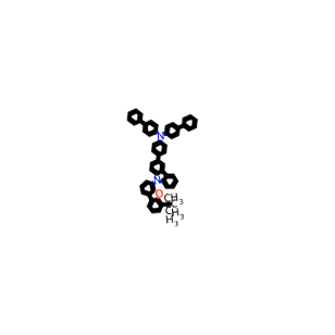 CC(C)(C)c1cccc2c1oc1c(-n3c4ccccc4c4cc(-c5ccc(N(c6ccc(-c7ccccc7)cc6)c6ccc(-c7ccccc7)cc6)cc5)ccc43)cccc12